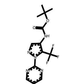 CC(C)(C)OC(=O)Nc1cnn(-c2ncccn2)c1C(F)(F)F